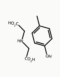 Cc1ccc(O)cc1.O=C(O)CNCC(=O)O